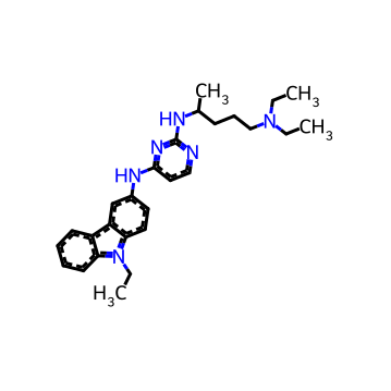 CCN(CC)CCCC(C)Nc1nccc(Nc2ccc3c(c2)c2ccccc2n3CC)n1